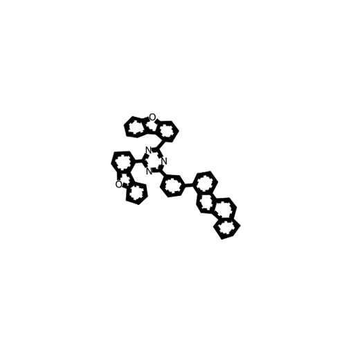 c1cc(-c2nc(-c3cccc4oc5ccccc5c34)nc(-c3cccc4oc5ccccc5c34)n2)cc(-c2cccc3c2ccc2c4ccccc4ccc32)c1